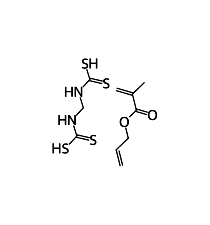 C=CCOC(=O)C(=C)C.S=C(S)NCNC(=S)S